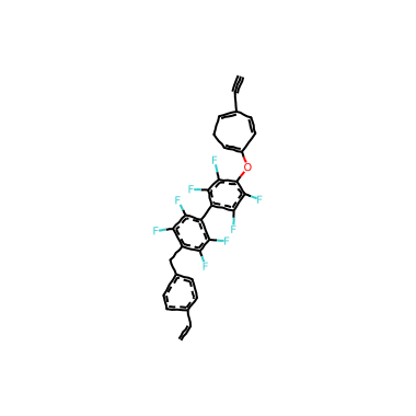 C#CC1=CCC=C(Oc2c(F)c(F)c(-c3c(F)c(F)c(Cc4ccc(C=C)cc4)c(F)c3F)c(F)c2F)C=C1